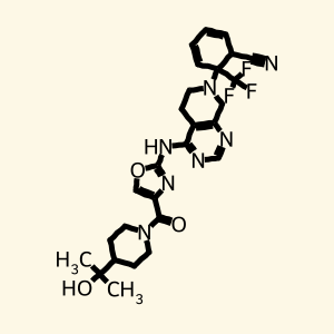 CC(C)(O)C1CCN(C(=O)c2coc(Nc3ncnc4c3CCN(C3(C(F)(F)F)C=CC=CC3C#N)C4)n2)CC1